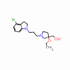 CCOC1(CO)CCN(CCCN2CCc3c(Br)cccc32)C1